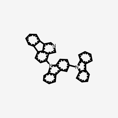 c1ccc2c(c1)-c1ccc(-n3c4ccccc4c4cc(-n5c6ccccc6c6ccccc65)ccc43)c3cncc-2c13